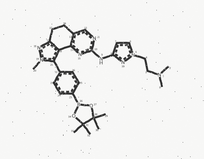 CN(C)CCn1ccc(Nc2ncc3c(n2)-c2c(nn(C)c2-c2ccc(B4OC(C)(C)C(C)(C)O4)cc2)CC3)n1